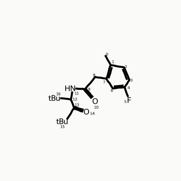 Cc1ccc(F)cc1CC(=O)NC(C(=O)C(C)(C)C)C(C)(C)C